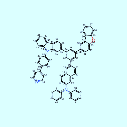 c1ccc(N(c2ccccc2)c2ccc3cc(-c4cc(-c5ccc6oc7ccccc7c6c5)cc(-c5ccc6c7ccccc7n(-c7ccc(-c8ccncc8)cc7)c6c5)c4)ccc3c2)cc1